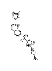 CN(C)C1CN(c2nc(C(=O)Nc3cc4nc(-c5cnn(C)c5)ccc4cn3)co2)C1